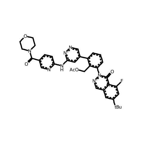 CC(=O)OCc1c(-c2cnnc(Nc3ccc(C(=O)N4CCOCC4)cn3)c2)cccc1-n1ncc2cc(C(C)(C)C)cc(F)c2c1=O